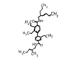 CCCCC(CCC)CNC(=O)c1ccc(-c2ccc(C(=O)NCC(C)CCC)cc2CC)c(CC)c1CC